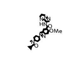 COc1cc2nn([C@H]3CC[C@H](N(C)C(=O)C4CC4)CC3)cc2cc1C(=O)Nc1cnn2cccnc12